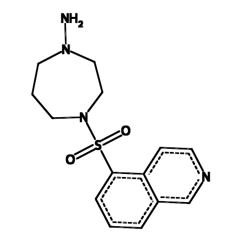 NN1CCCN(S(=O)(=O)c2cccc3cnccc23)CC1